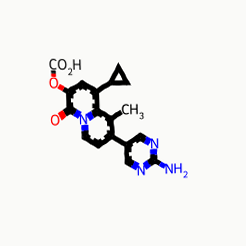 Cc1c(-c2cnc(N)nc2)ccn2c(=O)c(OC(=O)O)cc(C3CC3)c12